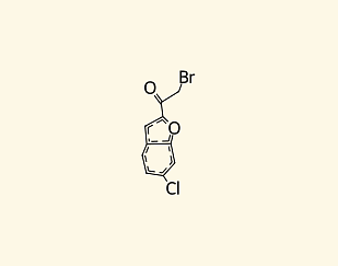 O=C(CBr)c1cc2ccc(Cl)cc2o1